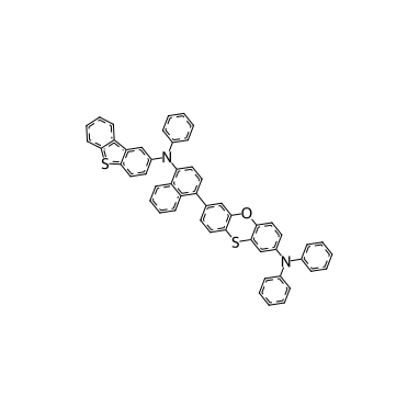 c1ccc(N(c2ccccc2)c2ccc3c(c2)Sc2ccc(-c4ccc(N(c5ccccc5)c5ccc6sc7ccccc7c6c5)c5ccccc45)cc2O3)cc1